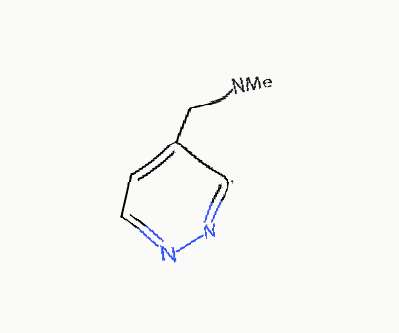 CNCc1[c]nncc1